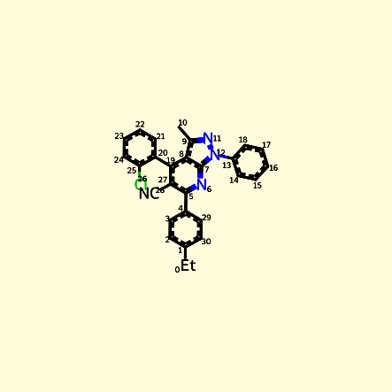 CCc1ccc(-c2nc3c(c(C)nn3-c3ccccc3)c(-c3ccccc3Cl)c2C#N)cc1